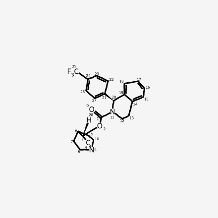 O=C(O[C@@H]1CN2CCC1CC2)N1CCc2ccccc2[C@@H]1c1ccc(C(F)(F)F)cc1